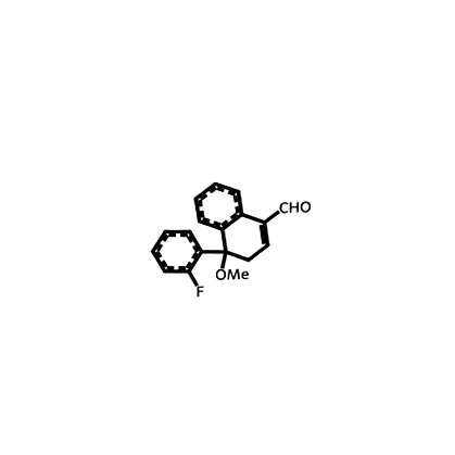 COC1(c2ccccc2F)CC=C(C=O)c2ccccc21